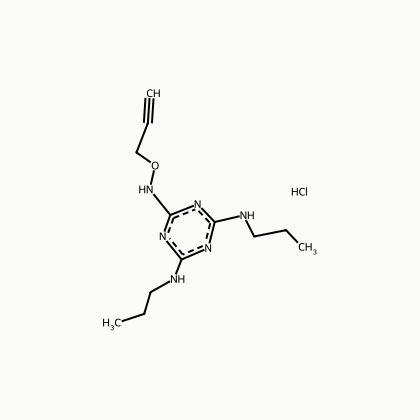 C#CCONc1nc(NCCC)nc(NCCC)n1.Cl